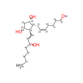 CCCCC[C@H](O)/C=C/[C@@H]1[C@@H](C/C=C\CCCC=O)[C@@H](O)C[C@H]1O